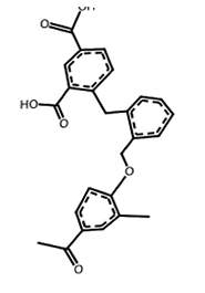 CC(=O)c1ccc(OCc2ccccc2Cc2ccc(C(=O)O)cc2C(=O)O)c(C)c1